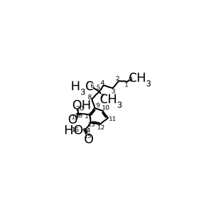 CCCCCC(C)(C)Cc1cccc(C(=O)O)c1C(=O)O